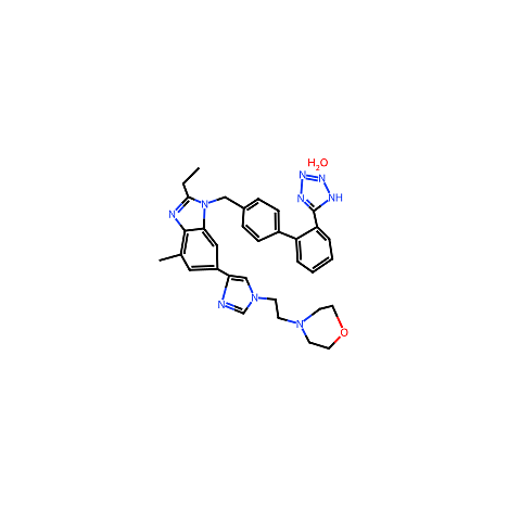 CCc1nc2c(C)cc(-c3cn(CCN4CCOCC4)cn3)cc2n1Cc1ccc(-c2ccccc2-c2nnn[nH]2)cc1.O